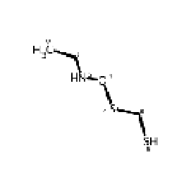 CCNOSCS